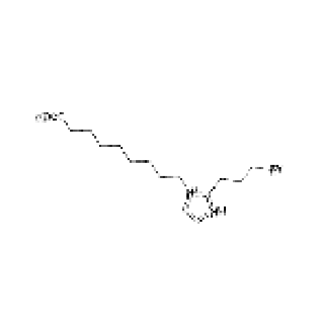 CCCCCCCCCCCCCCCCCC[n+]1cc[nH]c1CCCC(C)C